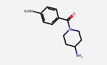 CC(=O)Nc1ccc(C(=O)N2CCC(N)CC2)cc1